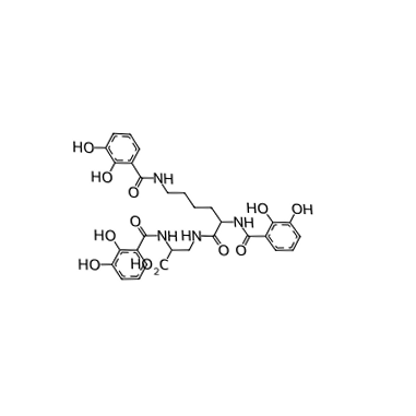 O=C(NCCCCC(NC(=O)c1cccc(O)c1O)C(=O)NCC(NC(=O)c1cccc(O)c1O)C(=O)O)c1cccc(O)c1O